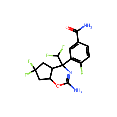 NC(=O)c1ccc(F)c(C2(C(F)F)N=C(N)OC3CC(F)(F)CC32)c1